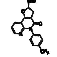 CCCCC1Cc2c(c3cccnc3n(-c3ccc(C)cc3)c2=O)O1